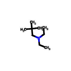 CCN([CH]C(C)(C)C)CC